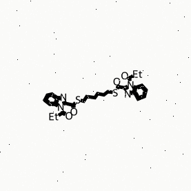 CCC(=O)n1c(C(=O)SCCCCCCSC(=O)c2nc3ccccc3n2C(=O)CC)nc2ccccc21